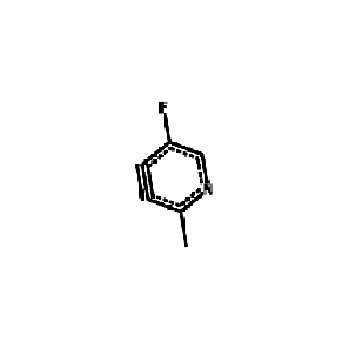 Cc1c#cc(F)cn1